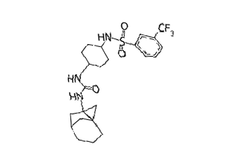 O=C(NC1CCC(NS(=O)(=O)c2cccc(C(F)(F)F)c2)CC1)NC12CC3CCCC1(C3)C2